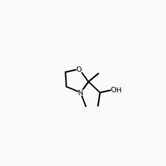 CC(O)C1(C)OCCN1C